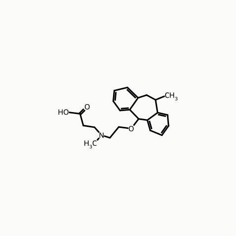 CC1Cc2ccccc2C(OCCN(C)CCC(=O)O)c2ccccc21